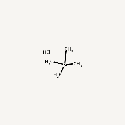 C[Si](C)(C)P.Cl